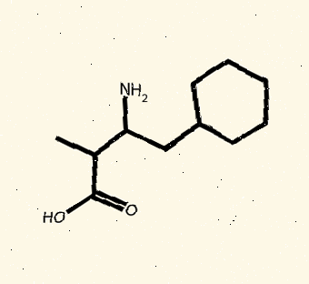 CC(C(=O)O)C(N)CC1CCCCC1